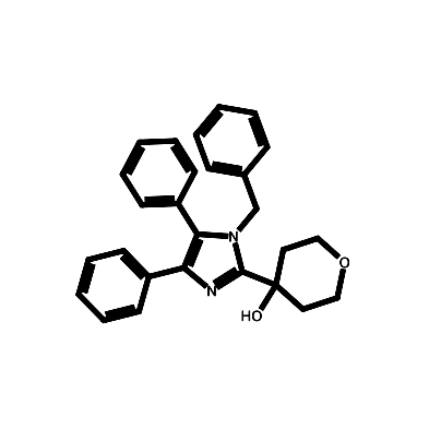 OC1(c2nc(-c3ccccc3)c(-c3ccccc3)n2Cc2ccccc2)CCOCC1